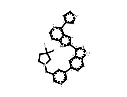 FC1(F)CCN(Cc2cncc(-c3ccc4[nH]nc(-c5cc6c(-c7ccoc7)nccc6[nH]5)c4c3)c2)C1